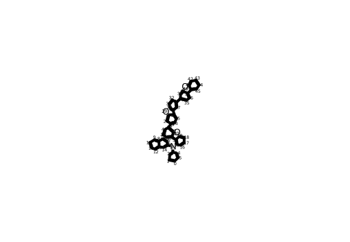 c1ccc(N(c2ccc3ccccc3c2)c2cccc3oc4c(-c5ccc6c(c5)oc5ccc(-c7ccc8c(c7)oc7ccccc78)cc56)cccc4c23)cc1